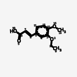 CCOc1cc(C=CC(=O)O)ccc1OC